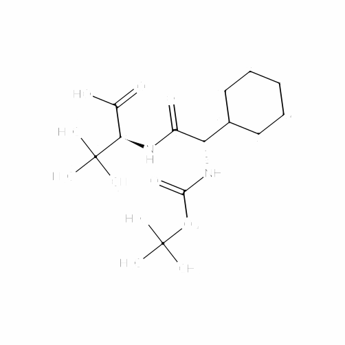 CC(C)(C)OC(=O)N[C@H](C(=O)N[C@H](C(=O)O)C(C)(C)C)C1CCCCC1